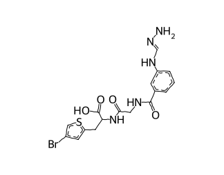 NN=CNc1cccc(C(=O)NCC(=O)NC(Cc2cc(Br)cs2)C(=O)O)c1